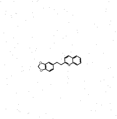 c1ccc2nc(CCc3ccc4c(c3)OCO4)ccc2c1